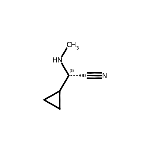 CN[C@H](C#N)C1CC1